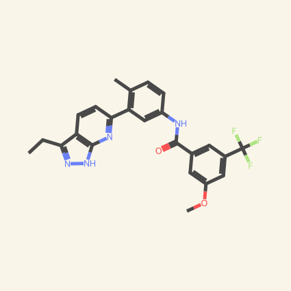 CCc1n[nH]c2nc(-c3cc(NC(=O)c4cc(OC)cc(C(F)(F)F)c4)ccc3C)ccc12